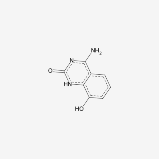 Nc1nc(=O)[nH]c2c(O)cccc12